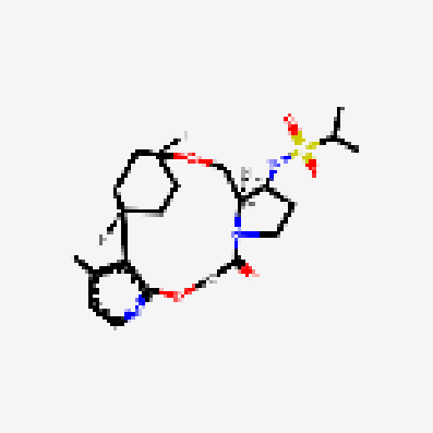 Cc1ccnc2c1[C@H]1CC[C@H](CC1)OC[C@H]1[C@@H](NS(=O)(=O)C(C)C)CCN1C(=O)CO2